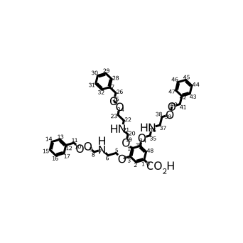 O=C(O)c1cc(OCCNCOOCc2ccccc2)c(OCNCCOOCc2ccccc2)c(OCNCCOOCc2ccccc2)c1